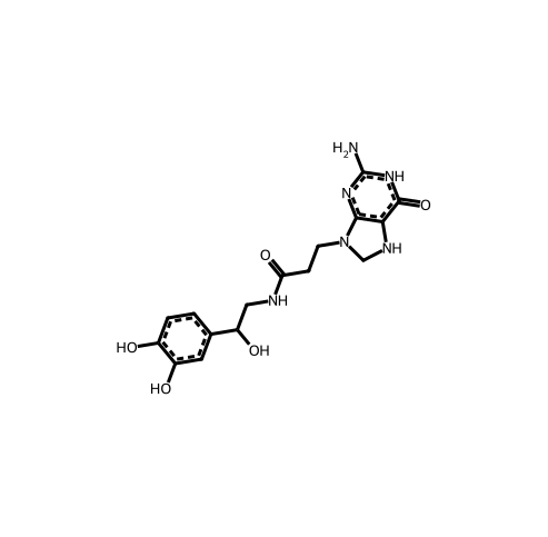 Nc1nc2c(c(=O)[nH]1)NCN2CCC(=O)NCC(O)c1ccc(O)c(O)c1